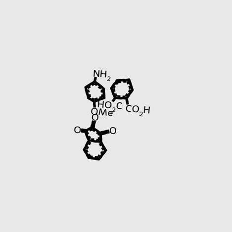 COc1ccc(N)cc1.O=C(O)c1ccccc1C(=O)O.O=c1c(=O)c2ccccc2c1=O